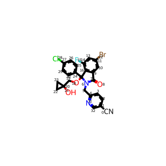 N#Cc1ccc(CN2C(=O)c3cc(Br)cc(F)c3C2(OCC2(O)CC2)c2ccc(Cl)cc2)nc1